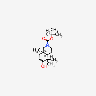 CC(C)(C)OC(=O)N1CC[C@H]2C(C)(C)C(O)=CC[C@]2(C)C1